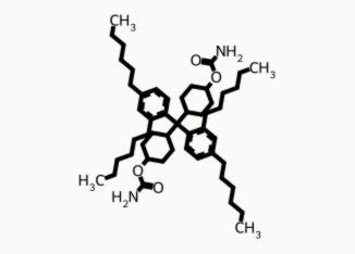 CCCCCCc1ccc(C(c2ccc(CCCCCC)cc2CCCCCC)(C2CCC(OC(N)=O)CC2)C2CCC(OC(N)=O)CC2)c(CCCCCC)c1